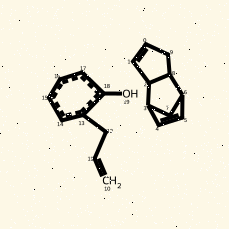 C1=CC2C3C=CC(C3)C2C1.C=CCc1ccccc1O